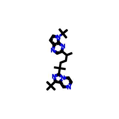 CC(CCC(C)(C)c1nc(C(C)(C)C)c2cnccn12)c1cnc2ccn(C(C)(C)C)c2n1